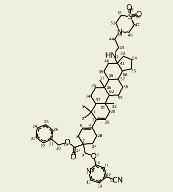 CC1(C)C(C2=CCC(COc3cc(C#N)ccn3)(C(=O)OCc3ccccc3)CC2)=CCC2(C)C1CCC1(C)C3CCC4(NCCN5CCS(=O)(=O)CC5)CCCC4C3CCC12